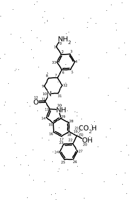 NCc1cccc(C2CCN(C(=O)c3cc4ccc([C@](O)(C(=O)O)c5ccccc5)cc4[nH]3)CC2)c1